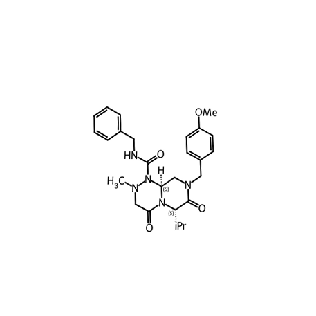 COc1ccc(CN2C[C@H]3N(C(=O)CN(C)N3C(=O)NCc3ccccc3)[C@@H](C(C)C)C2=O)cc1